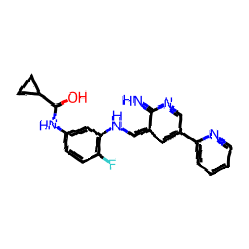 N=C1N=CC(c2ccccn2)=C/C1=C/Nc1cc(NC(O)C2CC2)ccc1F